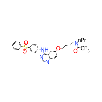 CCCN(CCCCOc1ccc2ncnc(Nc3ccc(S(=O)(=O)c4ccccc4)cc3)c2c1)C(=O)C(F)(F)F